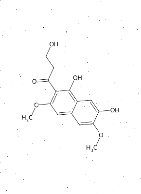 COc1cc2cc(OC)c(C(=O)CCO)c(O)c2cc1O